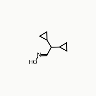 ON=CC(C1CC1)C1CC1